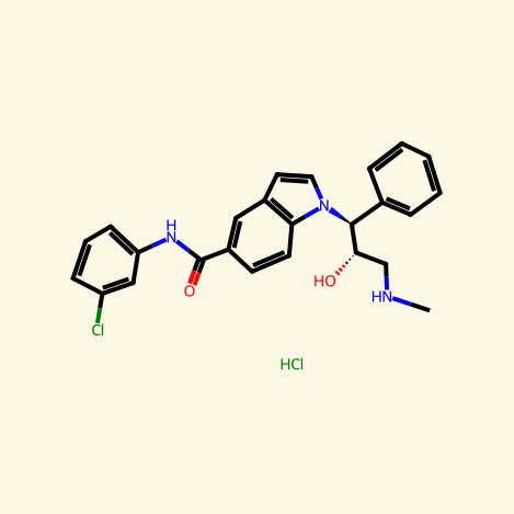 CNC[C@H](O)[C@H](c1ccccc1)n1ccc2cc(C(=O)Nc3cccc(Cl)c3)ccc21.Cl